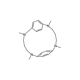 CN1CCCN(C)c2ccc(cc2)N(C)CCCN(C)c2ccc1cc2